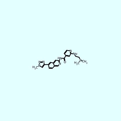 CN(C)CCNc1cc(C(=O)Nc2cc3cc(-c4cn(C)nn4)ccc3cn2)ccn1